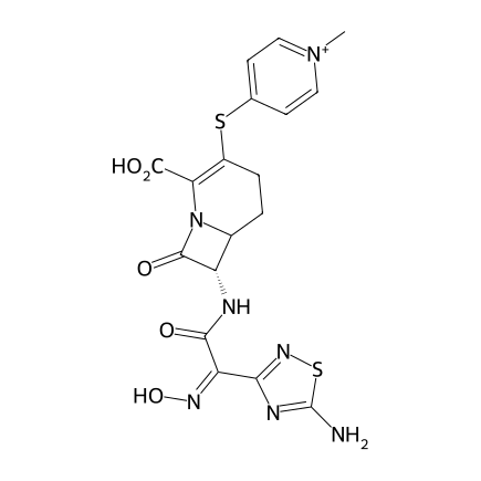 C[n+]1ccc(SC2=C(C(=O)O)N3C(=O)[C@@H](NC(=O)/C(=N\O)c4nsc(N)n4)C3CC2)cc1